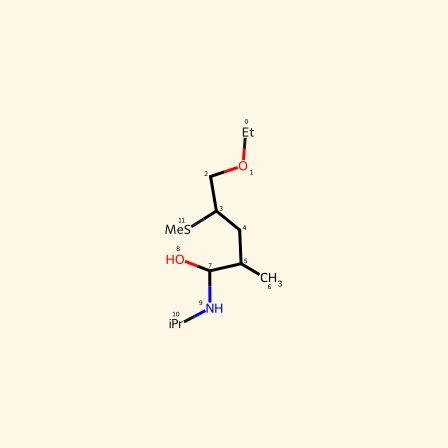 CCOCC(CC(C)C(O)NC(C)C)SC